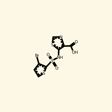 O=C(O)c1ncsc1NS(=O)(=O)c1sccc1Br